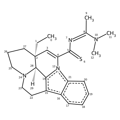 CC[C@@]12C=C(C(=S)/N=C(/C)N(C)C)n3c4c(c5ccccc53)CCN(CCC1)[C@H]42